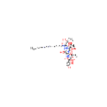 CCCCC/C=C/C/C=C/CCCCCCCC(=O)N[C@@H](C[C@@H](O)[C@H](C)O)C(=O)N[C@H](C(=O)N1C[C@H](O)C[C@H]1C(=O)N[C@H](C(C)=O)[C@H](O)[C@@H](O)c1ccc(O)cc1)[C@@H](C)O